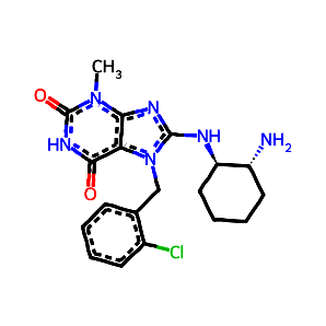 Cn1c(=O)[nH]c(=O)c2c1nc(N[C@@H]1CCCC[C@H]1N)n2Cc1ccccc1Cl